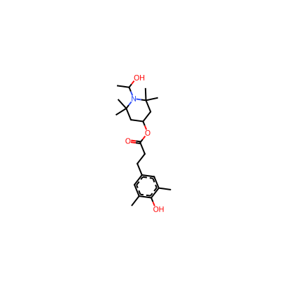 Cc1cc(CCC(=O)OC2CC(C)(C)N(C(C)O)C(C)(C)C2)cc(C)c1O